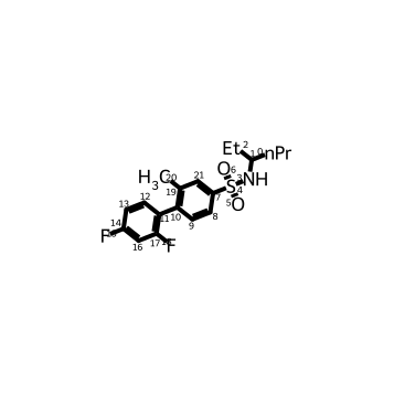 CCCC(CC)NS(=O)(=O)c1ccc(-c2ccc(F)cc2F)c(C)c1